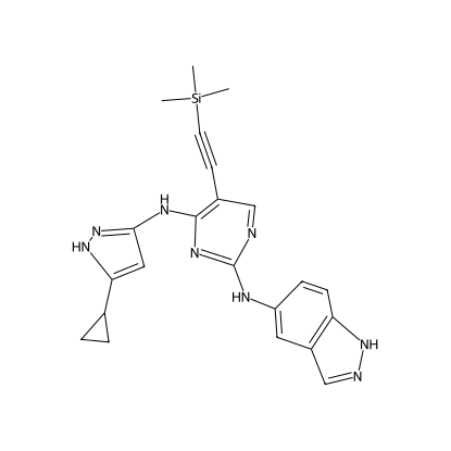 C[Si](C)(C)C#Cc1cnc(Nc2ccc3[nH]ncc3c2)nc1Nc1cc(C2CC2)[nH]n1